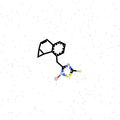 [O-][n+]1sc(F)nc1Cc1cccc2c1C1CC1C=C2